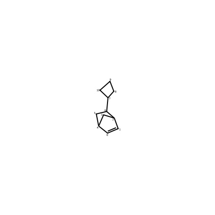 C1=CC2CC1CC2C1CCC1